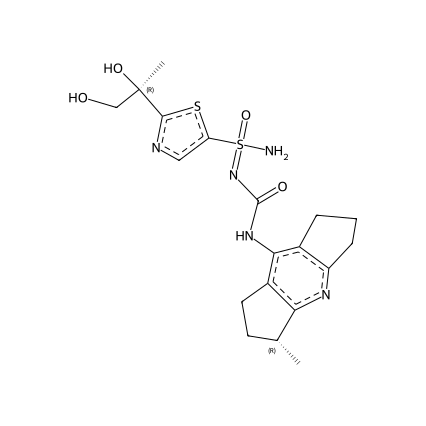 C[C@@H]1CCc2c1nc1c(c2NC(=O)N=S(N)(=O)c2cnc([C@](C)(O)CO)s2)CCC1